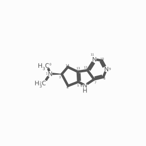 CN(C)[C@@H]1Cc2[nH]c3cncnc3c2C1